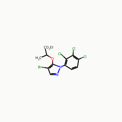 CCOC(=O)C(C)Oc1c(Br)cnn1-c1ccc(Cl)c(Cl)c1Cl